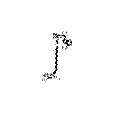 CC(C)C[Si](C)(C)C#CCCCCCCCCCCCSCCOP(=O)(O)CO[C@H](C)Cn1cnc2c(N)ncnc21